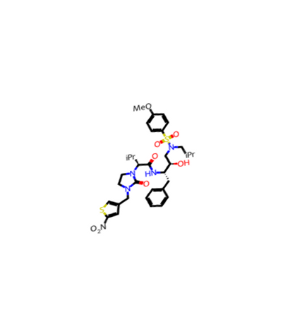 COc1ccc(S(=O)(=O)N(CC(C)C)C[C@@H](O)[C@H](Cc2ccccc2)NC(=O)[C@H](C(C)C)N2CCN(Cc3csc([N+](=O)[O-])c3)C2=O)cc1